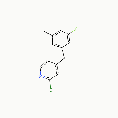 Cc1cc(F)cc(Cc2ccnc(Cl)c2)c1